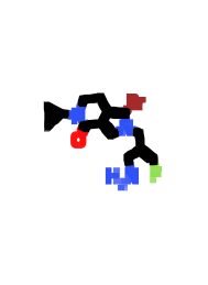 NC/C(=C\F)Cn1cc2c(c1Br)CCN(C1CC1)C2=O